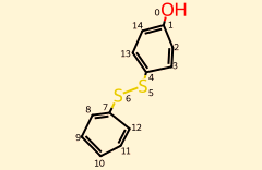 Oc1ccc(SSc2ccccc2)cc1